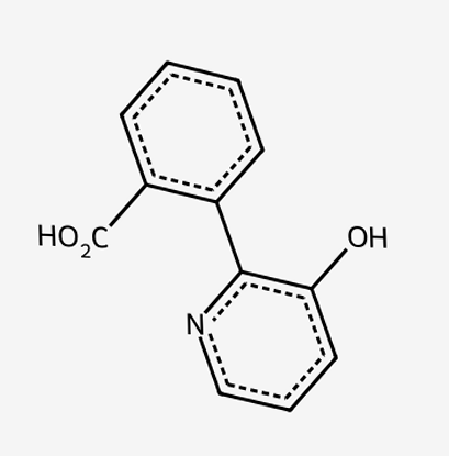 O=C(O)c1ccccc1-c1ncccc1O